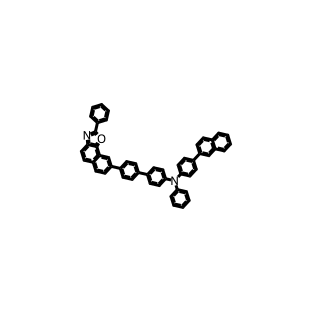 c1ccc(-c2nc3ccc4ccc(-c5ccc(-c6ccc(N(c7ccccc7)c7ccc(-c8ccc9ccccc9c8)cc7)cc6)cc5)cc4c3o2)cc1